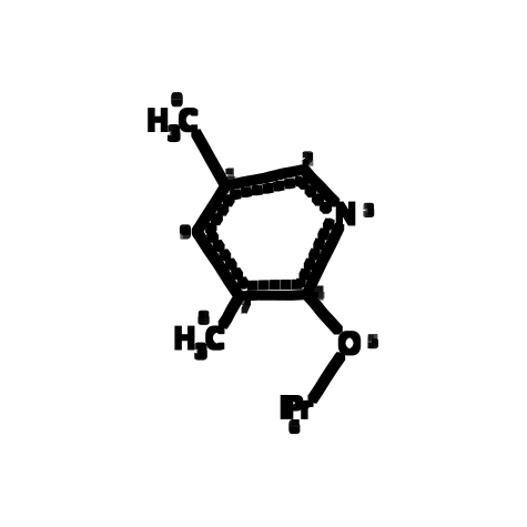 Cc1cnc(OC(C)C)c(C)c1